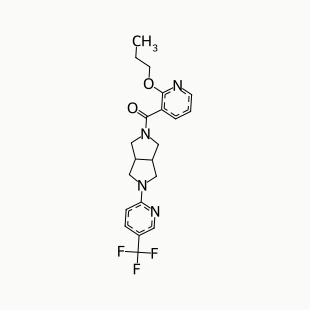 CCCOc1ncccc1C(=O)N1CC2CN(c3ccc(C(F)(F)F)cn3)CC2C1